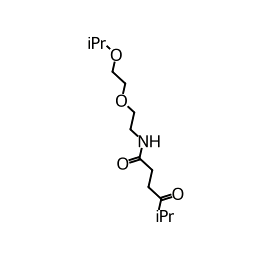 CC(C)OCCOCCNC(=O)CCC(=O)C(C)C